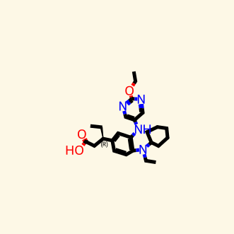 CCOc1ncc(Nc2cc([C@H](CC)CC(=O)O)ccc2N(CC)C2CCCCC2)cn1